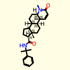 CN1C(=O)C=C[C@]2(C)[C@H]3CC[C@]4(C)[C@@H](C(=O)NC(C)(C)c5ccccc5)CC[C@H]4[C@@H]3CC[C@@H]12